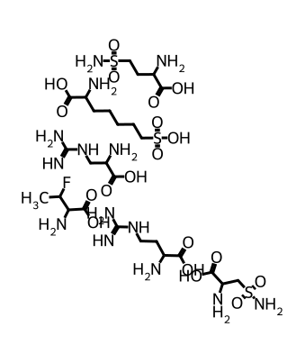 CC(F)C(N)C(=O)O.N=C(N)NCC(N)C(=O)O.N=C(N)NCCC(N)C(=O)O.NC(CCCCCS(=O)(=O)O)C(=O)O.NC(CCS(N)(=O)=O)C(=O)O.NC(CS(N)(=O)=O)C(=O)O